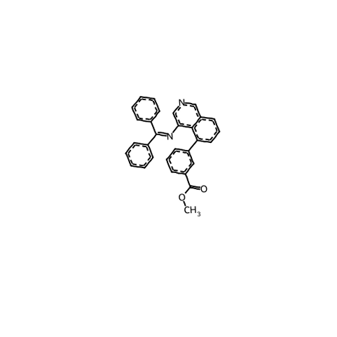 COC(=O)c1cccc(-c2cccc3cncc(N=C(c4ccccc4)c4ccccc4)c23)c1